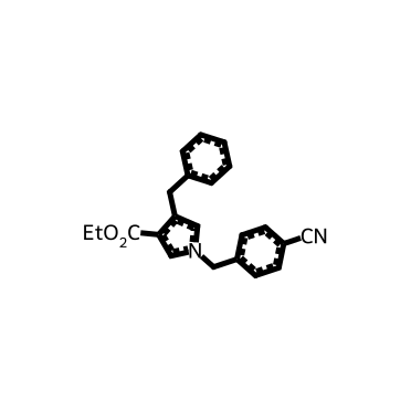 CCOC(=O)c1cn(Cc2ccc(C#N)cc2)cc1Cc1ccccc1